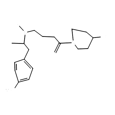 CCN(CCCC(=O)N1CCC(OC(C)=O)CC1)C(C)Cc1ccc(OC)cc1